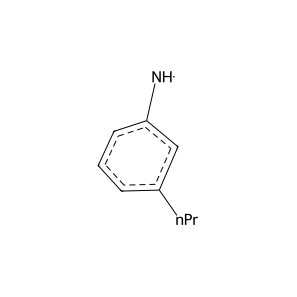 CCCc1cccc([NH])c1